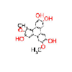 COc1cc2c3cc(O)c(O)cc3c3cc(O)c(OC)cc3c2cc1O